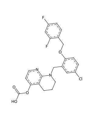 O=C(O)Oc1ccnc2c1CCCN2Cc1cc(Cl)ccc1OCc1ccc(F)cc1F